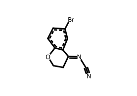 N#CN=C1CCOc2ccc(Br)cc21